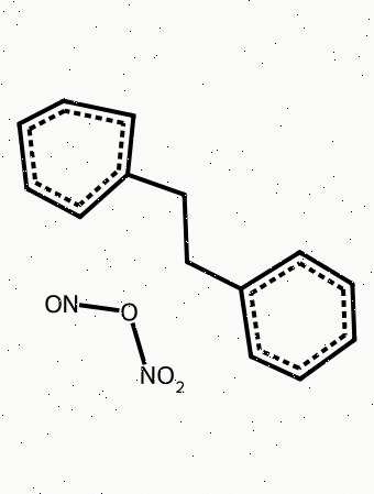 O=NO[N+](=O)[O-].c1ccc(CCc2ccccc2)cc1